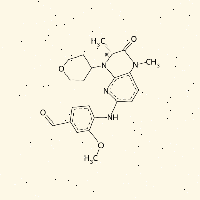 COc1cc(C=O)ccc1Nc1ccc2c(n1)N(C1CCOCC1)[C@H](C)C(=O)N2C